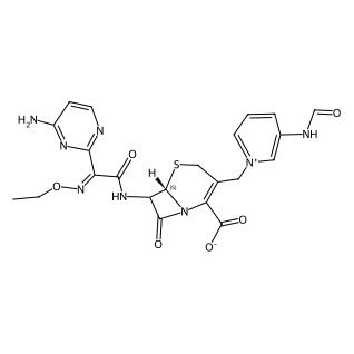 CCON=C(C(=O)NC1C(=O)N2C(C(=O)[O-])=C(C[n+]3cccc(NC=O)c3)CS[C@@H]12)c1nccc(N)n1